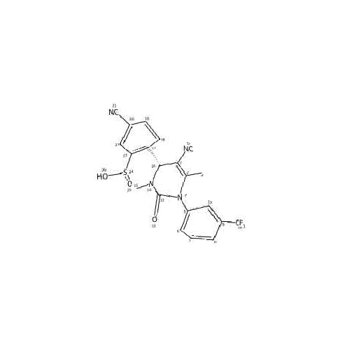 [C-]#[N+]C1=C(C)N(c2cccc(C(F)(F)F)c2)C(=O)N(C)[C@@H]1c1ccc(C#N)cc1S(=O)O